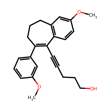 COc1cccc(C2=C(C#CCCCO)c3ccc(OC)cc3CCC2)c1